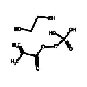 C=C(C)C(=O)OOP(=O)(O)O.OCCO